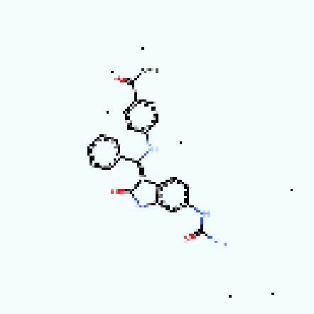 COC(=O)c1ccc(NC(=C2C(=O)Nc3cc(NC(N)=O)ccc32)c2ccccc2)cc1